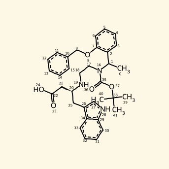 CC(c1ccccc1OCc1ccccc1)N(CCN[C@H](CC(=O)O)Cc1c[nH]c2ccccc12)C(=O)OC(C)(C)C